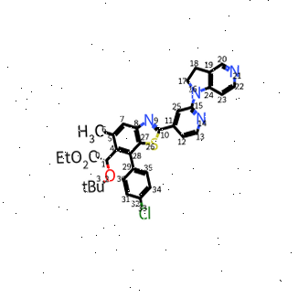 CCOC(=O)[C@@H](OC(C)(C)C)c1c(C)cc2nc(-c3ccnc(N4CCc5cnccc54)c3)sc2c1-c1ccc(Cl)cc1